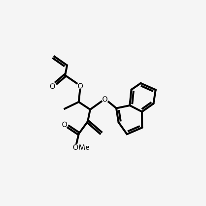 C=CC(=O)OC(C)C(Oc1cccc2ccccc12)C(=C)C(=O)OC